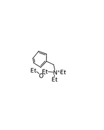 CC[N+](CC)(CC)Cc1ccccc1.CC[O-]